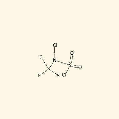 O=S(=O)(Cl)N(Cl)C(F)(F)F